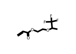 C=CC(=O)OCCOC(C)C(F)(F)F